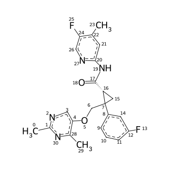 Cc1ncc(OCC2(c3cccc(F)c3)C[C@H]2C(=O)Nc2cc(C)c(F)cn2)c(C)n1